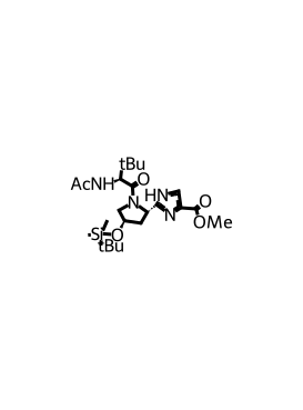 COC(=O)c1c[nH]c([C@@H]2C[C@@H](O[Si](C)(C)C(C)(C)C)CN2C(=O)[C@@H](NC(C)=O)C(C)(C)C)n1